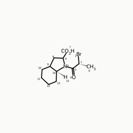 C[C@@H](Br)C(=O)N1C(C(=O)O)CC2CCCC[C@@H]21